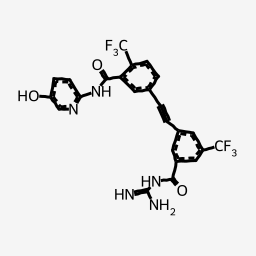 N=C(N)NC(=O)c1cc(C#Cc2ccc(C(F)(F)F)c(C(=O)Nc3ccc(O)cn3)c2)cc(C(F)(F)F)c1